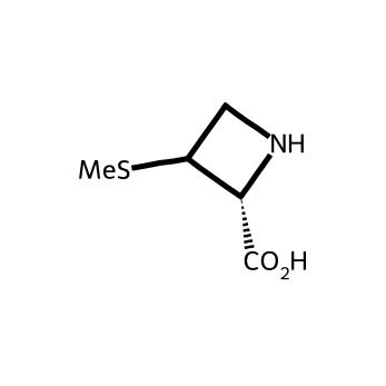 CSC1CN[C@@H]1C(=O)O